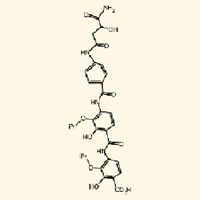 CC(C)Oc1c(NC(=O)c2ccc(NC(=O)c3ccc(NC(=O)CC(O)C(N)=O)cc3)c(OC(C)C)c2O)ccc(C(=O)O)c1O